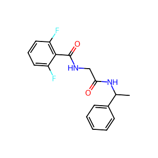 CC(NC(=O)CNC(=O)c1c(F)cccc1F)c1ccccc1